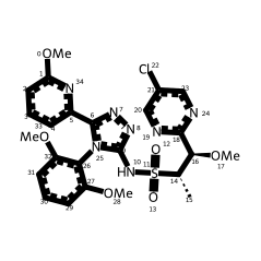 COc1cccc(-c2nnc(NS(=O)(=O)[C@@H](C)[C@H](OC)c3ncc(Cl)cn3)n2-c2c(OC)cccc2OC)n1